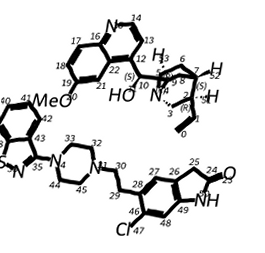 C=C[C@H]1C[N@]2CC[C@H]1C[C@@H]2[C@@H](O)c1ccnc2ccc(OC)cc12.O=C1Cc2cc(CCN3CCN(c4nsc5ccccc45)CC3)c(Cl)cc2N1